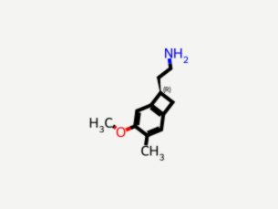 COc1cc2c(cc1C)C[C@@H]2CCN